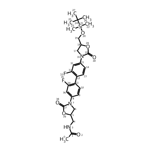 CC(=O)NCC1CN(c2ccc(-c3ccc(N4CC(CO[Si](C)(C)C(C)(C)C)OC4=O)cc3F)c(F)c2)C(=O)O1